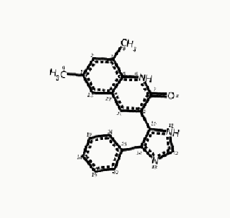 Cc1cc(C)c2[nH]c(=O)c(-c3[nH]cnc3-c3ccccc3)cc2c1